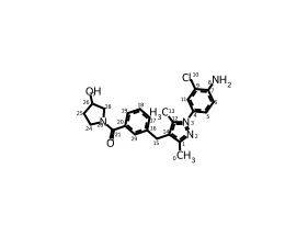 Cc1nn(-c2ccc(N)c(Cl)c2)c(C)c1Cc1cccc(C(=O)N2CCC(O)C2)c1